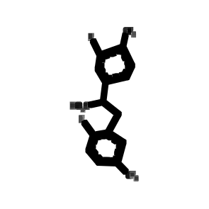 O=C(O)C(Cc1cc(C(F)(F)F)ccc1F)c1ccc(C(F)(F)F)c(F)c1